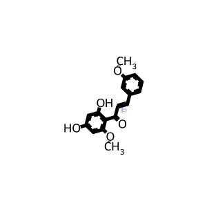 COc1cccc(/C=C/C(=O)c2c(O)cc(O)cc2OC)c1